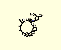 C=CCC1/C=C(\C)CC(C)CC(C)C2OC(O)(C(=O)C(=O)N3CCCCC3C(=O)OC(/C(C)=C/C3CCC(O)C(CO)C3)C(C)C(O)CC1=O)C(C)CC2C